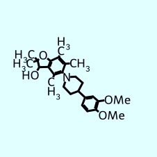 COc1ccc(C2CCN(c3c(C)c(C)c4c(c3C)C(O)C(C)(C)O4)CC2)cc1OC